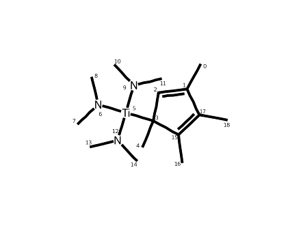 CC1=C[C](C)([Ti]([N](C)C)([N](C)C)[N](C)C)C(C)=C1C